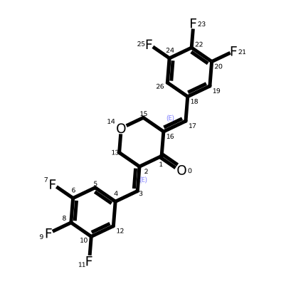 O=C1/C(=C/c2cc(F)c(F)c(F)c2)COC/C1=C\c1cc(F)c(F)c(F)c1